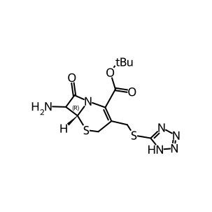 CC(C)(C)OC(=O)C1=C(CSc2nnn[nH]2)CS[C@@H]2C(N)C(=O)N12